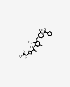 CC(=O)NC1CC(C(=O)Nc2cc(F)cc(CN3CCN(C(=O)C4CCCC4)C(C)C3)c2C)C1